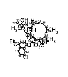 CCOc1cnc(O[C@@H]2C[C@H]3C(=O)N[C@]4(C(=O)NS(=O)(=O)C5(C)CC5)C[C@H]4C=CCC[C@@H](C)C[C@@H](C)[C@H](NC(=O)O)C(=O)N3C2)c2cc(Cl)ccc12